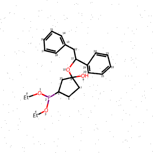 CCOP(OCC)C1CCC(O)(OC(Cc2ccccc2)c2ccccc2)C1